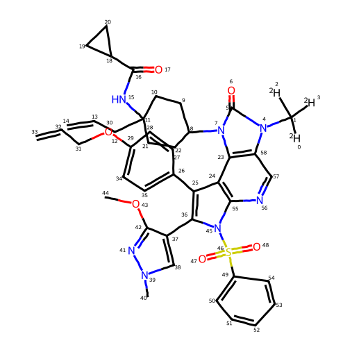 [2H]C([2H])([2H])n1c(=O)n(C2CCC(CC=C)(NC(=O)C3CC3)CC2)c2c3c(-c4ccc(OCC=C)cc4)c(-c4cn(C)nc4OC)n(S(=O)(=O)c4ccccc4)c3ncc21